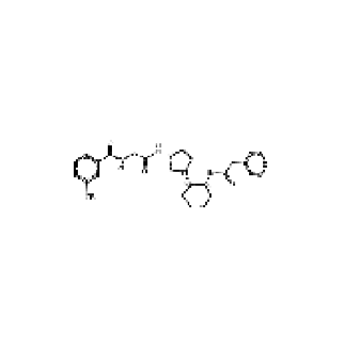 O=C(CNC(=O)c1cccc(C(F)(F)F)c1)N[C@@H]1CCN([C@H]2CCCC[C@H]2NC(=O)Cc2ccccc2)C1